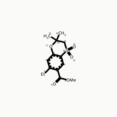 CCc1cc2c(cc1C(=O)OC)S(=O)(=O)CC(C)(C)O2